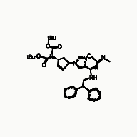 C/N=C(Cl)\N=C(\NCC(c1ccccc1)c1ccccc1)c1cn([C@H]2C=C[C@@H](N(C(=O)OC(C)(C)C)C(=O)OC(C)(C)C)C2)cn1